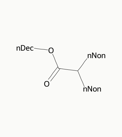 CCCCCCCCCCOC(=O)C(CCCCCCCCC)CCCCCCCCC